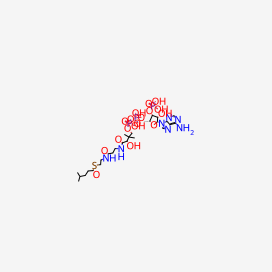 CC(C)CCC(=O)SCCNC(=O)CCNC(=O)[C@H](O)C(C)(C)COP(=O)(O)OP(=O)(O)OC[C@H]1O[C@@H](n2cnc3c(N)ncnc32)[C@H](O)[C@@H]1OP(=O)(O)O